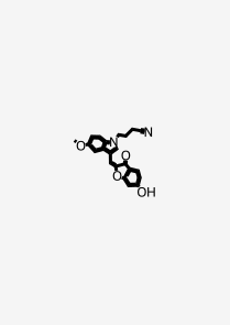 COc1ccc2c(c1)c(C=C1Oc3cc(O)ccc3C1=O)cn2CCCC#N